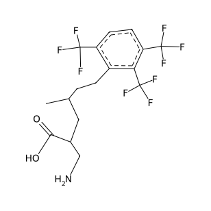 CC(CCc1c(C(F)(F)F)ccc(C(F)(F)F)c1C(F)(F)F)CC(CN)C(=O)O